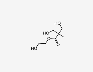 CC(CO)(CO)C(=O)OCCO